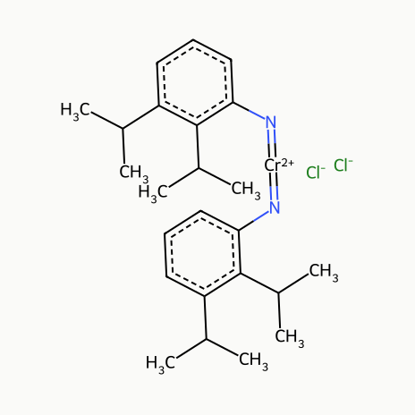 CC(C)c1cccc([N]=[Cr+2]=[N]c2cccc(C(C)C)c2C(C)C)c1C(C)C.[Cl-].[Cl-]